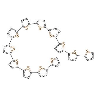 c1csc(-c2ccc(-c3ccc(-c4ccc(-c5ccc(-c6ccc(-c7ccc(-c8ccc(-c9ccc(-c%10ccc(-c%11ccc(-c%12cccs%12)s%11)s%10)s9)s8)s7)s6)s5)s4)s3)s2)c1